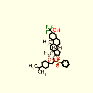 CC(C)C1CCC(O)(CC(C[C@H]2CC[C@H]3[C@@H]4CCC5C[C@](O)(C(F)(F)F)CC[C@]5(C)C4CC[C@]23C)S(=O)(=O)c2ccccc2)CC1